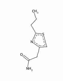 CCCc1nc(CC(N)=O)cs1